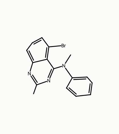 Cc1nc(N(C)c2ccccc2)c2c(Br)cccc2n1